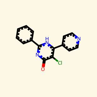 O=c1nc(-c2ccccc2)[nH]c(-c2ccncc2)c1Cl